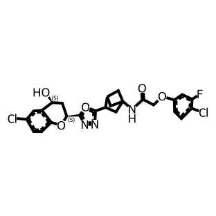 O=C(COc1ccc(Cl)c(F)c1)NC12CC(C1)C(c1nnc([C@@H]3C[C@H](O)c4cc(Cl)ccc4O3)o1)C2